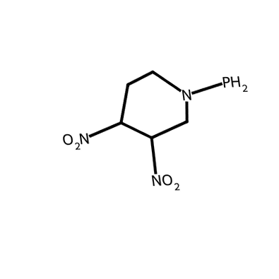 O=[N+]([O-])C1CCN(P)CC1[N+](=O)[O-]